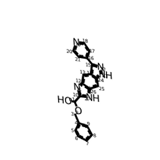 OC(OCc1ccccc1)c1nc2cc3c(-c4ccncc4)n[nH]c3cc2[nH]1